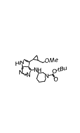 COCC1CC1c1c[nH]c2ncnc(NC3CCCN(C(=O)OC(C)(C)C)C3)c12